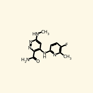 CNc1cc(Nc2ccc(F)c(C)n2)c(C(N)=O)nn1